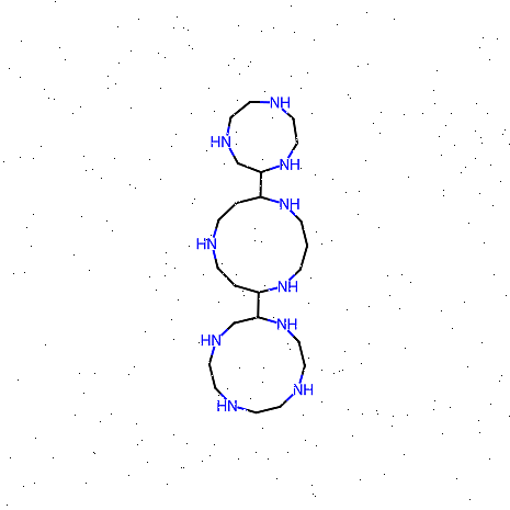 C1CNC(C2CNCCNCCNCCN2)CCNCCC(C2CNCCNCCN2)NC1